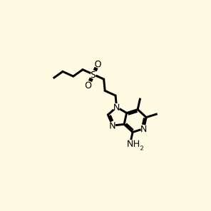 CCCCS(=O)(=O)CCCn1cnc2c(N)nc(C)c(C)c21